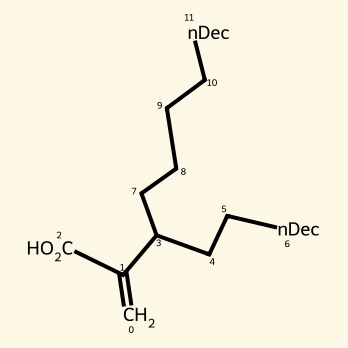 C=C(C(=O)O)C(CCCCCCCCCCCC)CCCCCCCCCCCCCC